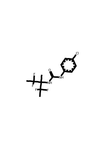 CC(F)(F)C(C)(NC(=O)Nc1ccc(Cl)cc1)C(C)(F)F